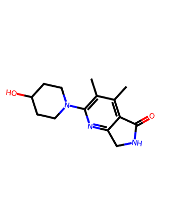 Cc1c(N2CCC(O)CC2)nc2c(c1C)C(=O)NC2